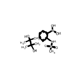 CC(C)(O)C(C)(C)O.CS(=O)(=O)Nc1ccccc1B(O)O